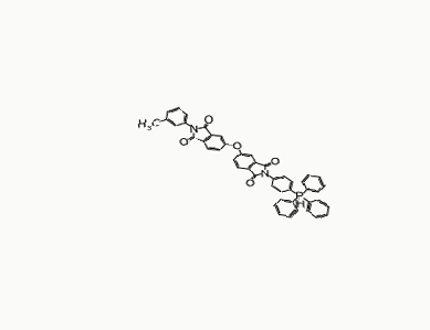 Cc1cccc(N2C(=O)c3ccc(Oc4ccc5c(c4)C(=O)N(c4ccc([PH](c6ccccc6)(c6ccccc6)c6ccccc6)cc4)C5=O)cc3C2=O)c1